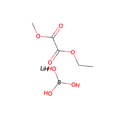 CCOC(=O)C(=O)OC.OB(O)O.[LiH]